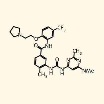 CNc1cc(NC(=O)Nc2cc(C(=O)Nc3cc(C(F)(F)F)ccc3OCCN3CCCC3)ccc2C)nc(C)n1